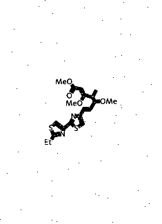 CCc1nc(-c2nc(/C=C/C(OC)C(C)/C(=C/C(=O)OC)OC)cs2)cs1